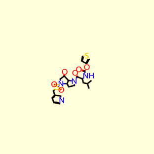 CC(C)CC(NC(=O)Oc1ccsc1)C(=O)N1CCC2C1C(=O)CN2S(=O)(=O)Cc1cccnc1